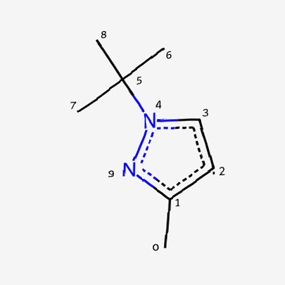 Cc1[c]cn(C(C)(C)C)n1